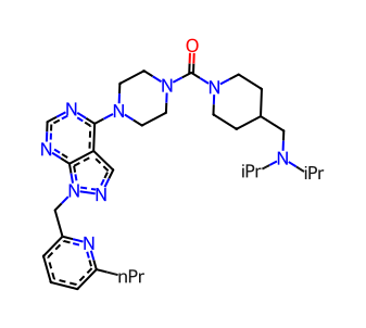 CCCc1cccc(Cn2ncc3c(N4CCN(C(=O)N5CCC(CN(C(C)C)C(C)C)CC5)CC4)ncnc32)n1